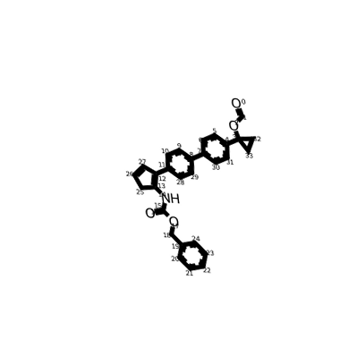 O=COC1(c2ccc(-c3ccc(C4=C(NC(=O)OCc5ccccc5)CC=C4)cc3)cc2)CC1